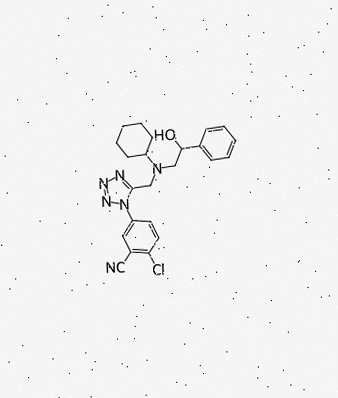 N#Cc1cc(-n2nnnc2CN(CC(O)c2ccccc2)C2CCCCC2)ccc1Cl